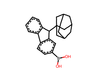 OB(O)c1ccc2c(c1)C(C13CC4CC(CC(C4)C1)C3)c1ccccc1-2